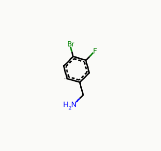 NCc1[c]cc(Br)c(F)c1